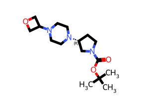 CC(C)(C)OC(=O)N1CC[C@@H](N2CCN(C3COC3)CC2)C1